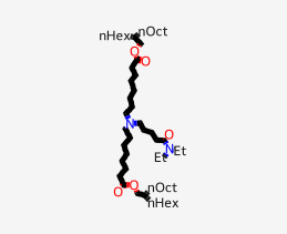 CCCCCCCCC(CCCCCC)COC(=O)CCCCCCCN(CCCCCCCC(=O)OCC(CCCCCC)CCCCCCCC)CCCCC(=O)N(CC)CC